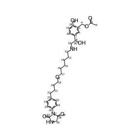 CC(=O)OCc1cc([C@@H](O)CNCCCCCCOCCCCc2ccc(N3C(=O)CNC3=O)cc2)ccc1O